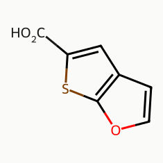 O=C(O)c1cc2ccoc2s1